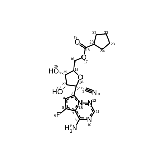 N#C[C@@]1(c2cc(F)c3c(N)ncnn23)O[C@H](COC(=O)C2CCCC2)[C@@H](O)[C@H]1O